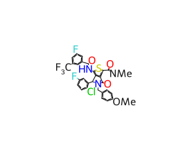 CNC(=O)c1sc(NC(=O)c2cc(F)cc(C(F)(F)F)c2)c2c1C(=O)N(Cc1ccc(OC)cc1)C2c1cc(F)ccc1Cl